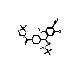 COc1cc(C#N)c(Cl)cc1C(N[S@@+]([O-])C(C)(C)C)C1CCN(C(=O)[C@H]2COC(C)(C)O2)CC1